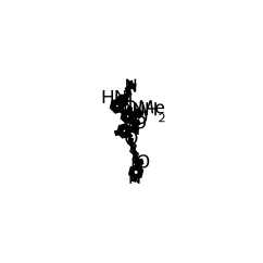 COc1c(-c2cccc3[nH]c(CCN(C)C)nc23)ccc(C(=O)N(C)c2ccc(C)cc2OCCCCCC(=O)N2CCN(C)CC2)c1C(N)=O